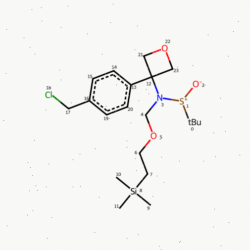 CC(C)(C)[S+]([O-])N(COCC[Si](C)(C)C)C1(c2ccc(CCl)cc2)COC1